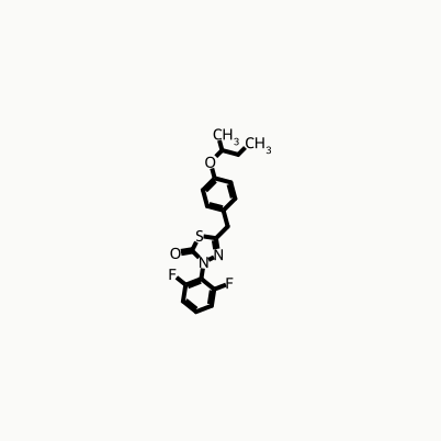 CCC(C)Oc1ccc(Cc2nn(-c3c(F)cccc3F)c(=O)s2)cc1